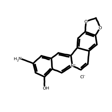 Nc1cc(O)c2c[n+]3ccc4cc5c(cc4c3cc2c1)OCO5.[Cl-]